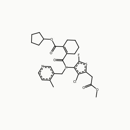 COC(=O)Cc1sc(F)c(N(Cc2cnccc2C)C(=O)C2=C(C(=O)OC3CCCC3)CCCC2)c1Cl